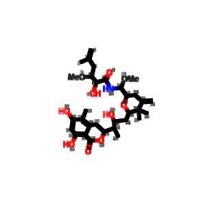 C=C(C)CC(OC)C(O)C(=O)NC(OC)C1CC(=C)C(C)(C)C(CC(O)C(C)C2Cc3c(C)c(O)cc(O)c3C(=O)O2)O1